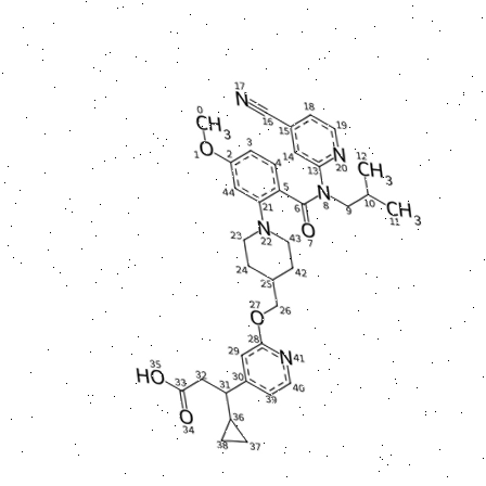 COc1ccc(C(=O)N(CC(C)C)c2cc(C#N)ccn2)c(N2CCC(COc3cc(C(CC(=O)O)C4CC4)ccn3)CC2)c1